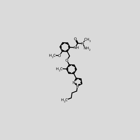 CCCCn1ccc(-c2ccc(OCc3c(NC(=O)N(C)N)cccc3OC)c(C)c2)n1